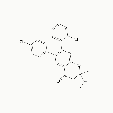 CC(C)C1(C)CC(=O)c2cc(-c3ccc(Cl)cc3)c(-c3ccccc3Cl)nc2O1